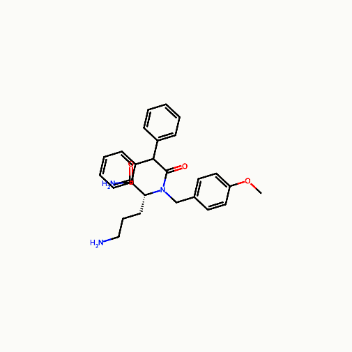 COc1ccc(CN(C(=O)C(c2ccccc2)c2ccccc2)[C@H](CCCN)C(N)=O)cc1